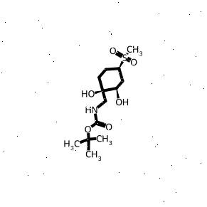 CC(C)(C)OC(=O)NC[C@]1(O)CC[C@@H](S(C)(=O)=O)C[C@H]1O